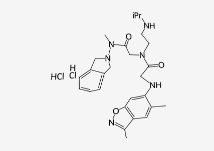 Cc1cc2c(C)noc2cc1NCC(=O)N(CCNC(C)C)CC(=O)N(C)N1Cc2ccccc2C1.Cl.Cl